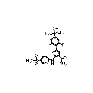 CC(C)(O)c1cc(F)c(-c2cc(C(N)=O)c(Nc3ccc(S(C)(=O)=O)cn3)s2)c(F)c1